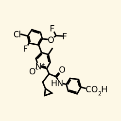 Cc1cc(C(CC2CC2)C(=O)Nc2ccc(C(=O)O)cc2)[n+]([O-])cc1-c1c(OC(F)F)ccc(Cl)c1F